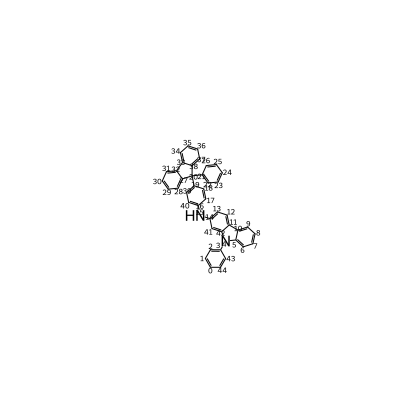 c1ccc(-n2c3ccccc3c3ccc(Nc4ccc(C5(c6ccccc6)c6ccccc6-c6ccccc65)cc4)cc32)cc1